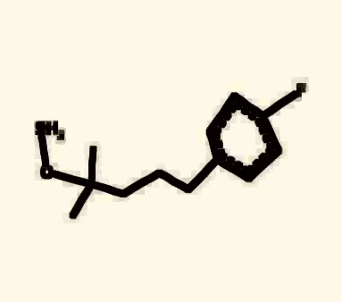 CC(C)(CCCc1ccc(F)cc1)O[SiH3]